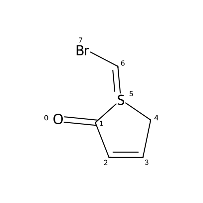 O=C1C=CC/S1=C/Br